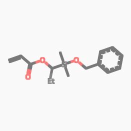 C=CC(=O)OC(CC)[Si](C)(C)OCc1ccccc1